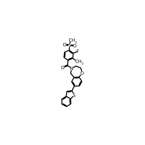 Cc1c(C(=O)N2CCOc3ccc(-c4cc5ccccc5s4)cc3C2)ccc(S(C)(=O)=O)c1F